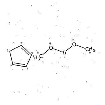 C1=CCC=C1.C[O][Ti][O]C